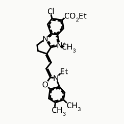 CCOC(=O)c1cc2c(cc1Cl)n1c([n+]2C)C(=CC=C2Oc3cc(C)c(C)cc3N2CC)CC1